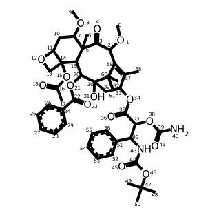 COC1C(=O)C2(C)C(OC)CC3OCC3(OC(C)=O)C2C(OC(=O)c2ccccc2)C2(O)CC(OC(=O)C(OC(N)=O)C(NC(=O)OC(C)(C)C)c3ccccc3)C(C)=C1C2(C)C